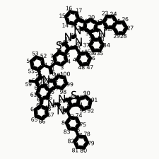 C=C(c1ccc2c(c1)sc1nc(-n3c4ccccc4c4cc5c6ccc7ccccc7c6n6c7ccccc7c(c43)c56)nc(-c3ccccc3)c12)c1ccccc1-c1c(C)c2cc3c4ccccc4n(-c4nc(-c5ccc(-c6ccccc6)cc5)c5c(n4)sc4ccccc45)c3c3c4ccccc4n1c23